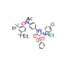 CCC(C)(C)c1ccc(ON(C(C)=O)c2ccc(N3N=C(Nc4ccc(Cl)cc4Cl)C(S(=O)(=O)c4ccccc4)C3=O)cc2)c(C(C)(C)CC)c1